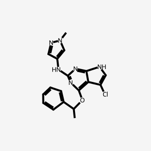 CC(Oc1nc(Nc2cnn(C)c2)nc2[nH]cc(Cl)c12)c1ccccc1